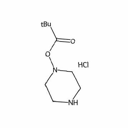 CC(C)(C)C(=O)ON1CCNCC1.Cl